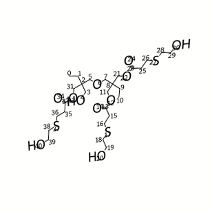 CCC(CO)(COCC(CC)(COC(=O)CCSCCO)COC(=O)CCSCCO)COC(=O)CCSCCO